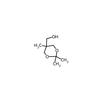 [CH2]C1(CO)COC(C)(C)OC1